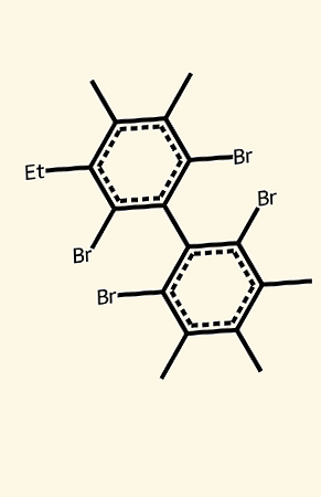 CCc1c(C)c(C)c(Br)c(-c2c(Br)c(C)c(C)c(C)c2Br)c1Br